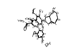 C=Cc1c(F)c(N2CC3CCCNC3C2)c(F)c2c1c(=O)c(C(=O)O)cn2-c1ccc(F)cc1F.Cl